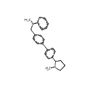 CN(Cc1ccc(-c2ccc(C3CCCN3C)cc2)cc1)c1ccccc1